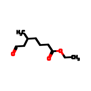 CCOC(=O)CCCC(C)CC=O